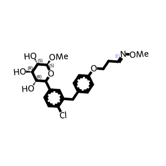 CO/N=C/CCOc1ccc(Cc2cc(C3O[C@H](OC)[C@@H](O)[C@H](O)[C@H]3O)ccc2Cl)cc1